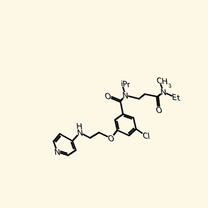 CCN(C)C(=O)CCN(C(=O)c1cc(Cl)cc(OCCNc2ccncc2)c1)C(C)C